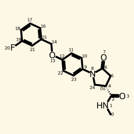 CNC(=O)[C@H]1CC(=O)N(c2ccc(OCc3cccc(F)c3)cc2)C1